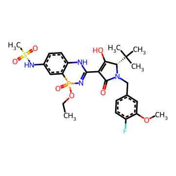 CCOP1(=O)N=C(C2=C(O)[C@H](C(C)(C)C)N(Cc3ccc(F)c(OC)c3)C2=O)Nc2ccc(NS(C)(=O)=O)cc21